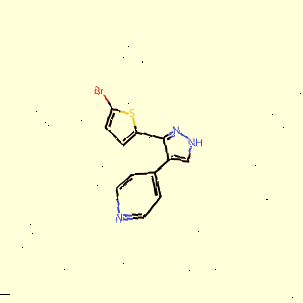 Brc1ccc(-c2n[nH]cc2-c2ccncc2)s1